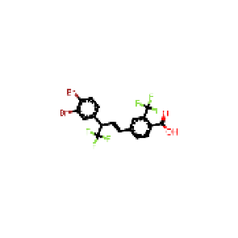 O=C(O)c1ccc(/C=C/C(c2ccc(Br)c(Br)c2)C(F)(F)F)cc1C(F)(F)F